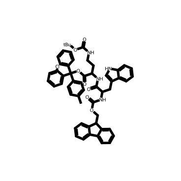 Cc1ccc(C(OC(=O)C(CCNC(=O)OC(C)(C)C)NC(=O)C(Cc2c[nH]c3ccccc23)NC(=O)OCC2c3ccccc3-c3ccccc32)(c2ccccc2)c2ccccc2Cl)cc1